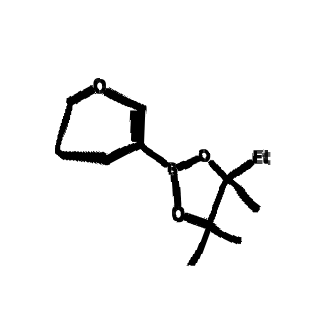 CCC1(C)OB(C2=COCCC2)OC1(C)C